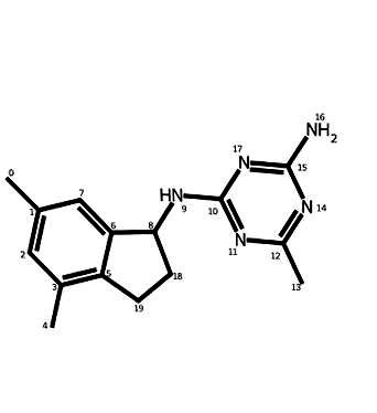 Cc1cc(C)c2c(c1)C(Nc1nc(C)nc(N)n1)CC2